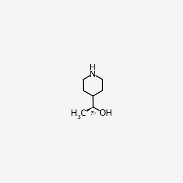 C[C@H](O)C1CCNCC1